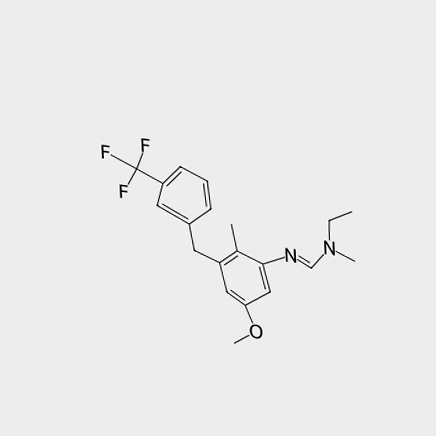 CCN(C)C=Nc1cc(OC)cc(Cc2cccc(C(F)(F)F)c2)c1C